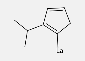 CC(C)C1=[C]([La])CC=C1